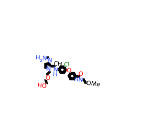 C=C(Nc1ccc(Oc2cccc(C(=O)NCCOC)c2)c(Cl)c1)c1c(/N=C\N)ccn1CCOCCO